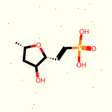 C[C@H]1CC(O)[C@@H](/C=C/P(=O)(O)O)O1